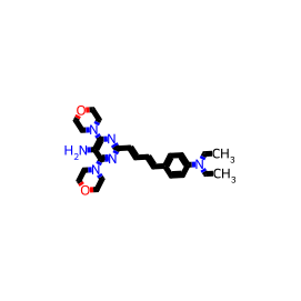 CCN(CC)c1ccc(/C=C/C=C/c2nc(N3CCOCC3)c(N)c(N3CCOCC3)n2)cc1